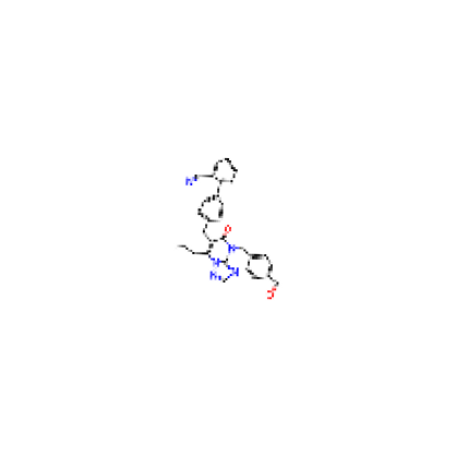 CCCc1c(Cc2ccc(-c3ccccc3C#N)cc2)c(=O)n(Cc2ccc(C=O)cc2)c2ncnn12